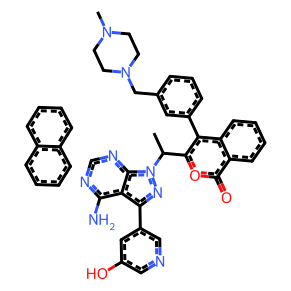 CC(c1oc(=O)c2ccccc2c1-c1cccc(CN2CCN(C)CC2)c1)n1nc(-c2cncc(O)c2)c2c(N)ncnc21.c1ccc2ccccc2c1